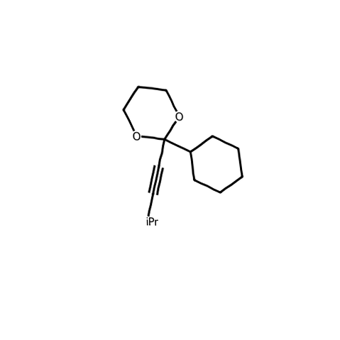 CC(C)C#CC1(C2CCCCC2)OCCCO1